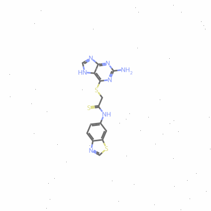 Nc1nc(SCC(=S)Nc2ccc3ncsc3c2)c2[nH]cnc2n1